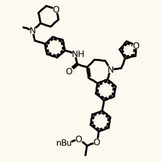 CCCCOC(C)Oc1ccc(-c2ccc3c(c2)C=C(C(=O)Nc2ccc(CN(C)C4CCOCC4)cc2)CCN3Cc2ccoc2)cc1